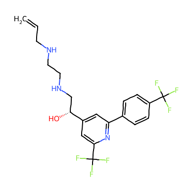 C=CCNCCNC[C@@H](O)c1cc(-c2ccc(C(F)(F)F)cc2)nc(C(F)(F)F)c1